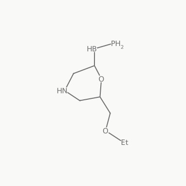 CCOCC1CNCC(BP)O1